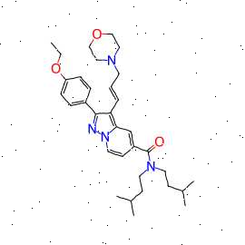 CCOc1ccc(-c2nn3ccc(C(=O)N(CCC(C)C)CCC(C)C)cc3c2/C=C/CN2CCOCC2)cc1